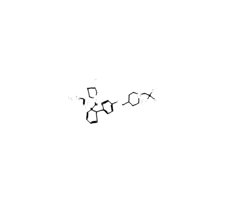 CCC(F)(CC)CN1CCC(COc2ccc(C3C=CC=CC3(F)C(=O)N3C[C@@H](F)C[C@H]3C(N)=O)cc2)CC1